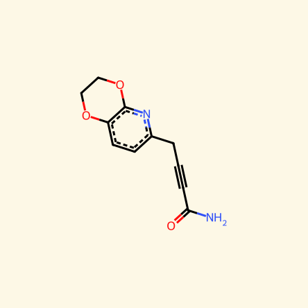 NC(=O)C#CCc1ccc2c(n1)OCCO2